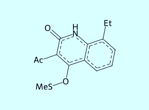 CCc1cccc2c(OSC)c(C(C)=O)c(=O)[nH]c12